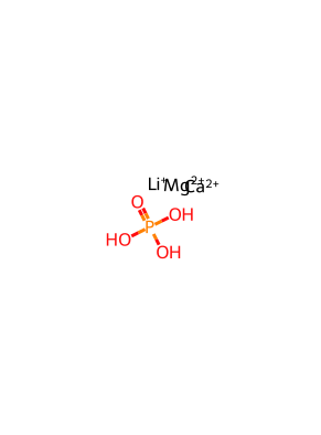 O=P(O)(O)O.[Ca+2].[Li+].[Mg+2]